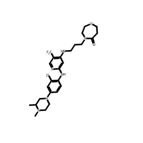 CC1CN(c2ccc(Nc3cc(NCCCN4CCOCCC4=O)c(C(F)(F)F)cn3)c(Cl)c2)CCN1C